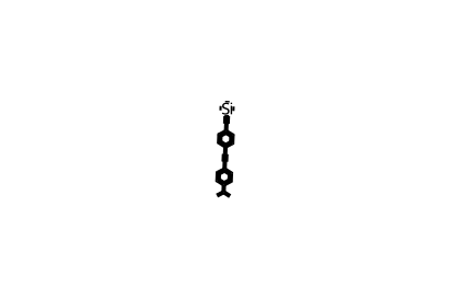 CC(C)c1ccc(C#Cc2ccc(C#C[Si](C)(C)C)cc2)cc1